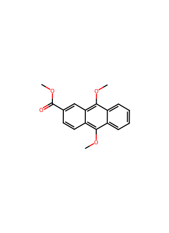 COC(=O)c1ccc2c(OC)c3ccccc3c(OC)c2c1